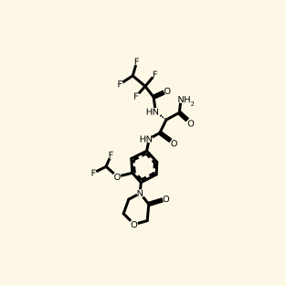 NC(=O)[C@@H](NC(=O)C(F)(F)C(F)F)C(=O)Nc1ccc(N2CCOCC2=O)c(OC(F)F)c1